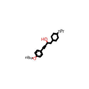 CCCCOc1ccc(C#CC(O)CC2CCC(CCC)CC2)cc1